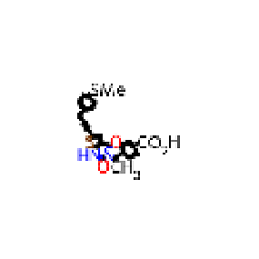 CSc1ccc(CC#Cc2cc3c(=O)n(C(C)c4ccc(C(=O)O)cc4)c(=O)[nH]c3s2)cc1